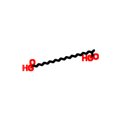 CC(CCCCCCCCCCCCCCCCCCCCC(=O)O)C(=O)O